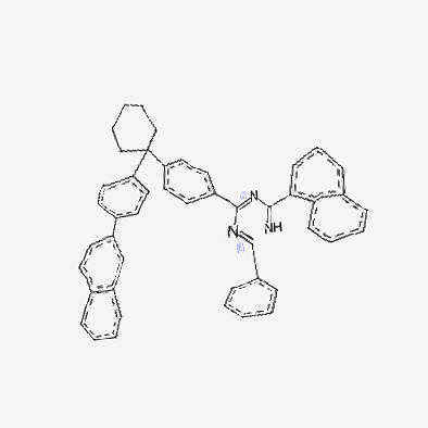 N=C(/N=C(\N=C\c1ccccc1)c1ccc(C2(c3ccc(-c4ccc5ccccc5c4)cc3)CCCCC2)cc1)c1cccc2ccccc12